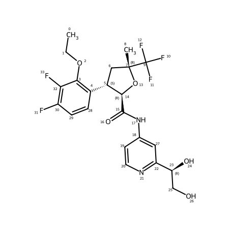 CCOc1c([C@@H]2C[C@](C)(C(F)(F)F)O[C@H]2C(=O)Nc2ccnc([C@@H](O)CO)c2)ccc(F)c1F